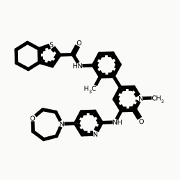 Cc1c(NC(=O)c2cc3c(s2)CCCC3)cccc1-c1cc(Nc2ccc(N3CCCOCC3)cn2)c(=O)n(C)c1